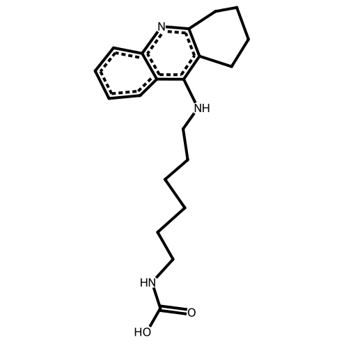 O=C(O)NCCCCCCNc1c2c(nc3ccccc13)CCCC2